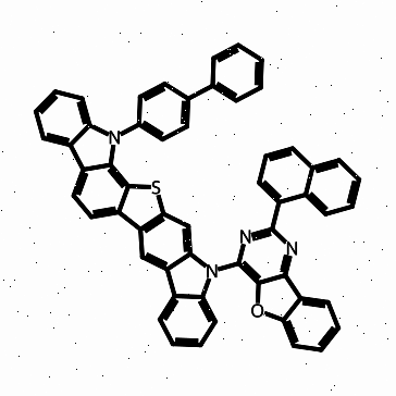 c1ccc(-c2ccc(-n3c4ccccc4c4ccc5c6cc7c8ccccc8n(-c8nc(-c9cccc%10ccccc9%10)nc9c8oc8ccccc89)c7cc6sc5c43)cc2)cc1